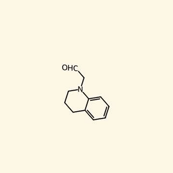 O=CCN1CCCc2ccccc21